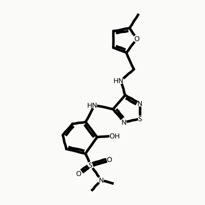 Cc1ccc(CNc2nsnc2Nc2cccc(S(=O)(=O)N(C)C)c2O)o1